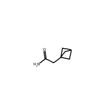 NC(=O)CC12CC(C1)C2